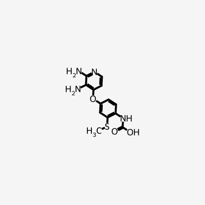 CSc1cc(Oc2ccnc(N)c2N)ccc1NC(=O)O